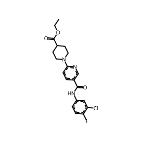 CCOC(=O)C1CCN(c2ccc(C(=O)Nc3ccc(I)c(Cl)c3)cn2)CC1